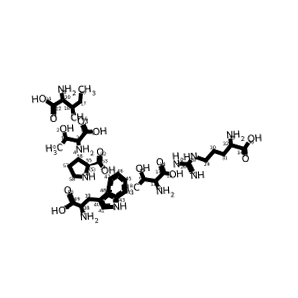 CC(O)C(N)C(=O)O.CC(O)C(N)C(=O)O.CCC(C)C(N)C(=O)O.N=C(N)NCCCC(N)C(=O)O.NC(Cc1c[nH]c2ccccc12)C(=O)O.O=C(O)[C@@H]1CCCN1